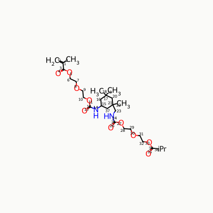 C=C(C)C(=O)OCCOCCOC(=O)NC1CC(C)(C)CC(C)(CNC(=O)OCCOCCOC(=O)C(C)C)C1